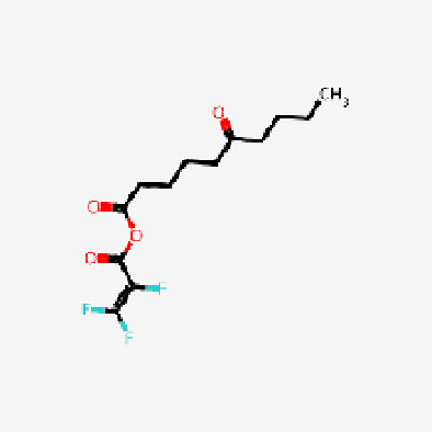 CCCCC(=O)CCCCC(=O)OC(=O)C(F)=C(F)F